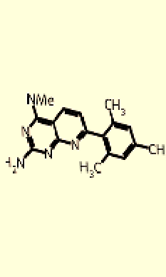 CNc1nc(N)nc2nc(-c3c(C)cc(C)cc3C)ccc12